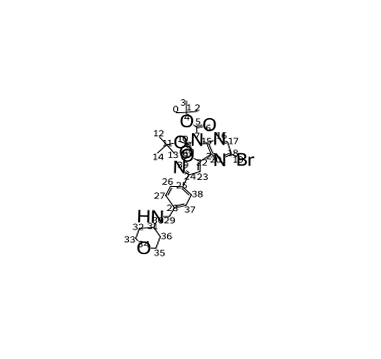 CC(C)(C)OC(=O)N(C(=O)OC(C)(C)C)c1ncc(Br)nc1-c1cc(-c2ccc(CNC3CCOCC3)cc2)no1